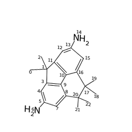 CC1(C)c2cc(N)cc3c2-c2c1cc(N)cc2C(C)(C)C3(C)C